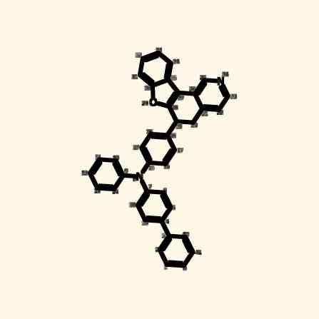 c1ccc(-c2ccc(N(c3ccccc3)c3ccc(C4Cc5ccncc5-c5c4oc4ccccc54)cc3)cc2)cc1